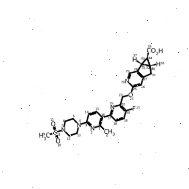 Cc1nc(N2CCN(S(C)(=O)=O)CC2)ccc1-c1ccc(F)c(COc2cc3c(cn2)[C@H]2[C@@H](C3)[C@@H]2C(=O)O)n1